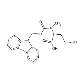 CN(C(=O)OCC1c2ccccc2-c2ccccc21)[C@@H](CCO)C(=O)O